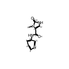 Cn1c(C(=O)Nc2cccnc2)c[nH]c1=O